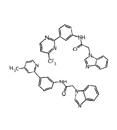 Cc1ccnc(-c2cccc(NC(=O)Cn3cnc4ccccc43)c2)c1.O=C(Cn1cnc2ccccc21)Nc1cccc(-c2nccc(C(F)(F)F)n2)c1